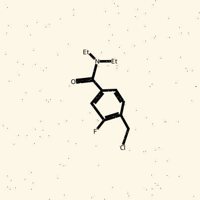 CCN(CC)C(=O)c1ccc(CCl)c(F)c1